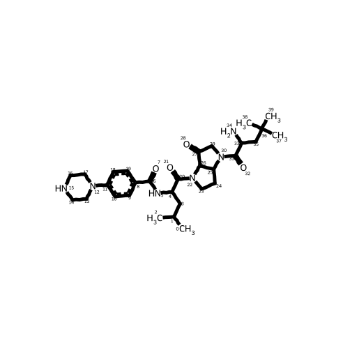 CC(C)CC(NC(=O)c1ccc(N2CCNCC2)cc1)C(=O)N1CCC2C1C(=O)CN2C(=O)C(N)CC(C)(C)C